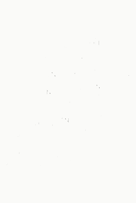 CCCC(O)(c1nccs1)c1c2c(nn1C)N(c1c(C)cc(C)cc1C)CCC2